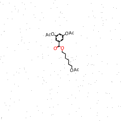 CC(=O)OCCCCCCOC(=O)c1cc(OC(C)=O)cc(OC(C)=O)c1